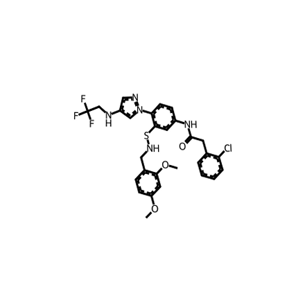 COc1ccc(CNSc2cc(NC(=O)Cc3ccccc3Cl)ccc2-n2cc(NCC(F)(F)F)cn2)c(OC)c1